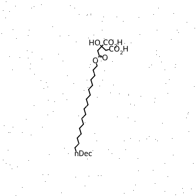 CCCCCCCCCCCCCCCCCCCCCCCCCCCCOC(=O)CC(O)(CC(=O)O)C(=O)O